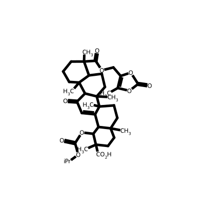 Cc1oc(=O)oc1COC(=O)C1(C)CCCC2(C)C1CCC1(C)C2C(=O)C=C2C3C(OC(=O)OC(C)C)C(C)(C(=O)O)CCC3(C)CCC21C